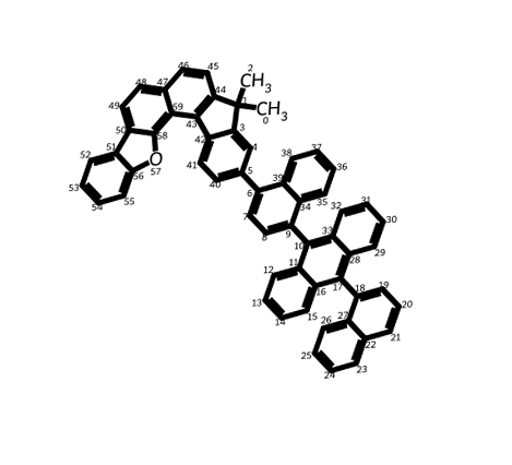 CC1(C)c2cc(-c3ccc(-c4c5ccccc5c(-c5cccc6ccccc56)c5ccccc45)c4ccccc34)ccc2-c2c1ccc1ccc3c4ccccc4oc3c21